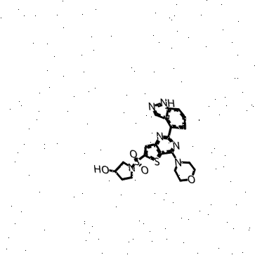 O=S(=O)(c1cc2nc(-c3cccc4[nH]ncc34)nc(N3CCOCC3)c2s1)N1CCC(O)C1